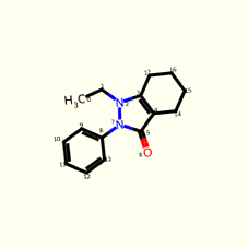 CCn1c2c(c(=O)n1-c1ccccc1)CCCC2